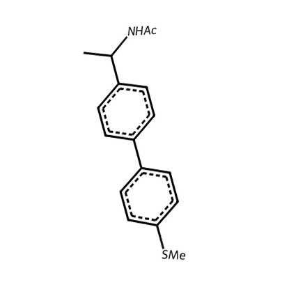 CSc1ccc(-c2ccc(C(C)NC(C)=O)cc2)cc1